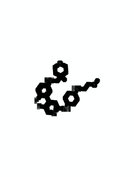 COCCN[C@H]1CC[C@H](Nc2cc(-c3cc(NCC4(C)CCOCC4)ccc3F)c(F)cn2)CC1